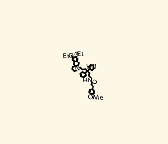 CCOc1cc2c(cc1OCC)CC1(CCCCN1CCCC(CCCNC(=O)CCc1ccc(OC)cc1)(c1ccccc1)c1ccccc1)CC2.Cl